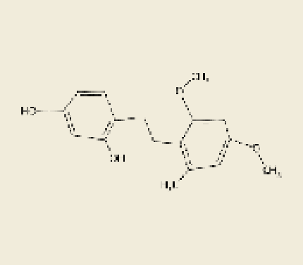 COc1cc(C)c(CCc2ccc(O)cc2O)c(OC)c1